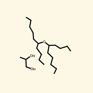 CC(O)CO.CCCCCC(CCCC)OC(CCCC)CCCCC